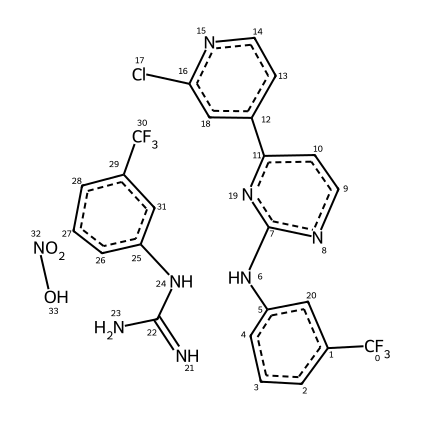 FC(F)(F)c1cccc(Nc2nccc(-c3ccnc(Cl)c3)n2)c1.N=C(N)Nc1cccc(C(F)(F)F)c1.O=[N+]([O-])O